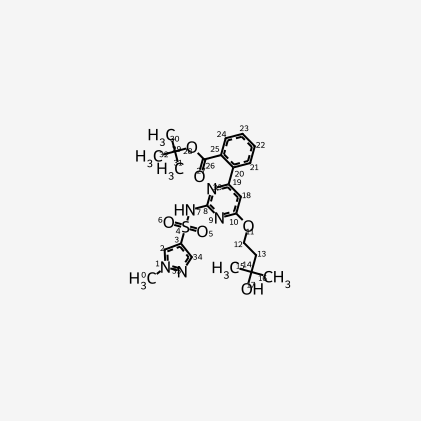 Cn1cc(S(=O)(=O)Nc2nc(OCCC(C)(C)O)cc(-c3ccccc3C(=O)OC(C)(C)C)n2)cn1